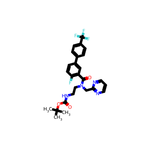 CC(C)(C)OC(=O)NCCN(Cc1ncccn1)C(=O)c1cc(-c2ccc(C(F)(F)F)cc2)ccc1F